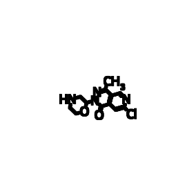 Cc1nn(C2CNCCO2)c(=O)c2cc(Cl)ncc12